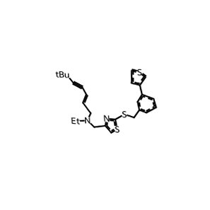 CCN(CC=CC#CC(C)(C)C)Cc1csc(SCc2cccc(-c3ccsc3)c2)n1